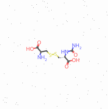 NC(=O)N[C@@H](CSSCC(N)C(=O)O)C(=O)O